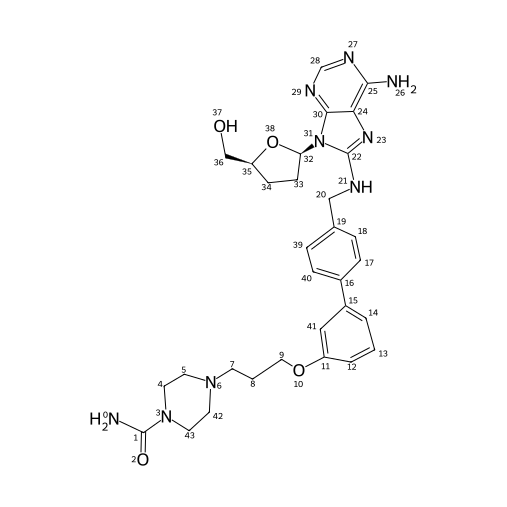 NC(=O)N1CCN(CCCOc2cccc(-c3ccc(CNc4nc5c(N)ncnc5n4[C@H]4CC[C@@H](CO)O4)cc3)c2)CC1